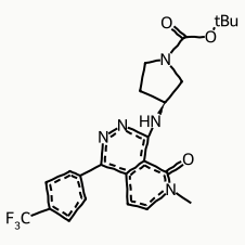 Cn1ccc2c(-c3ccc(C(F)(F)F)cc3)nnc(N[C@H]3CCN(C(=O)OC(C)(C)C)C3)c2c1=O